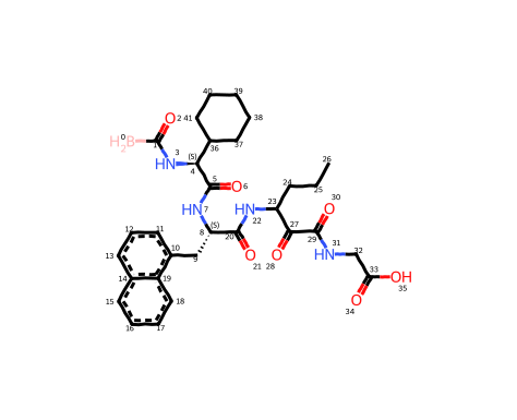 BC(=O)N[C@H](C(=O)N[C@@H](Cc1cccc2ccccc12)C(=O)NC(CCC)C(=O)C(=O)NCC(=O)O)C1CCCCC1